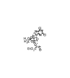 CCOC(=O)C(OC[C@H]1O[C@@H](n2cnc3c(Cl)nc(Cl)nc32)[C@@H]2OC(C)(C)O[C@@H]21)P=O